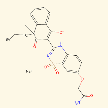 CC(C)CCC1(C)C(=O)C(C2=NS(=O)(=O)c3cc(OCC(N)=O)ccc3N2)=C([O-])c2ccccc21.[Na+]